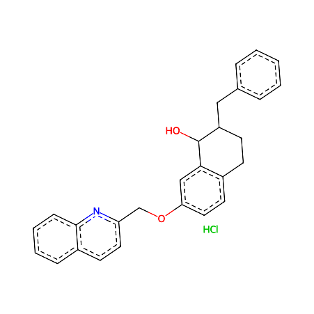 Cl.OC1c2cc(OCc3ccc4ccccc4n3)ccc2CCC1Cc1ccccc1